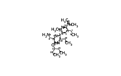 CCc1cc(-c2nc(CN)c(OC(CC)CC)nc2CC)c(C)nc1N(C)C